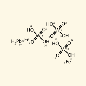 [Fe].[Fe].[O]=[W](=[O])([OH])[OH].[O]=[W](=[O])([OH])[OH].[O]=[W](=[O])([OH])[OH].[PbH2]